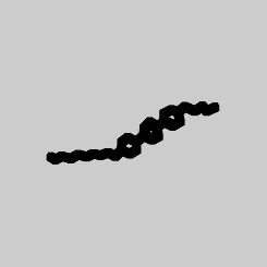 CCCCCCCCCCC1CCC(c2ccc(C3=CCC(CCCCC)CC3)cc2)CC1